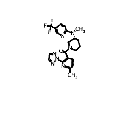 Cc1ccc(C(=O)N2CCC[C@@H](N(C)c3ccc(C(F)(F)F)cn3)C2)c(-n2nccn2)n1